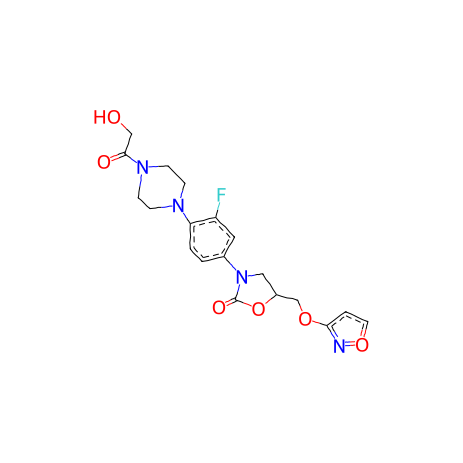 O=C(CO)N1CCN(c2ccc(N3CC(COc4ccon4)OC3=O)cc2F)CC1